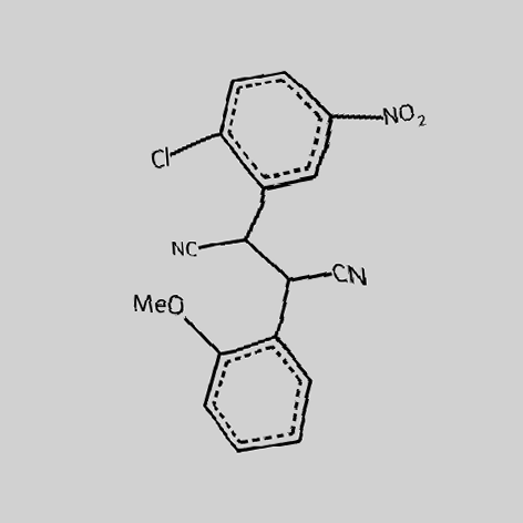 COc1ccccc1C(C#N)C(C#N)c1cc([N+](=O)[O-])ccc1Cl